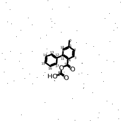 Cc1ccc(C(=O)OC(=O)O)c(-c2ccccc2)c1